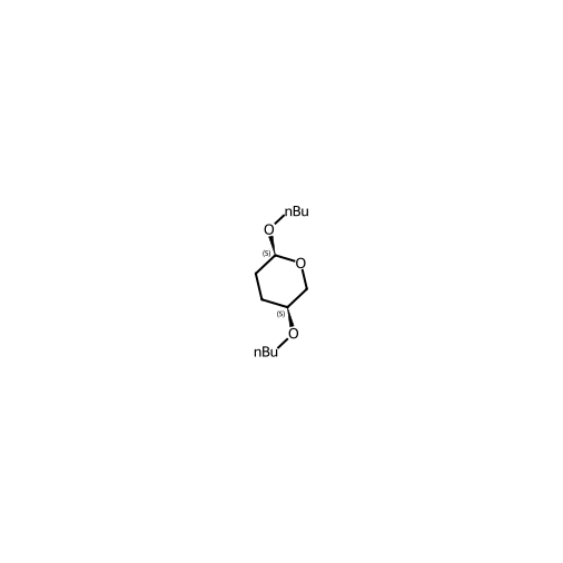 CCCCO[C@H]1CC[C@@H](OCCCC)OC1